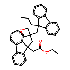 CCCC1(CC2(CC3(CC(=O)OCC)c4ccccc4-c4ccccc43)COC2)c2ccccc2-c2ccccc21